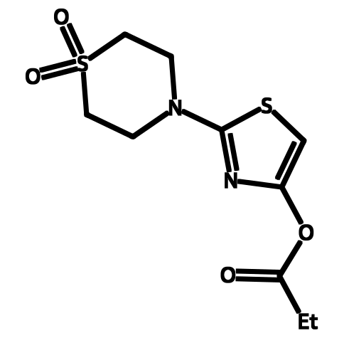 CCC(=O)Oc1csc(N2CCS(=O)(=O)CC2)n1